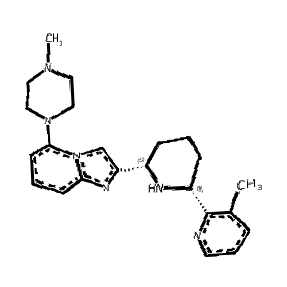 Cc1cccnc1[C@H]1CCC[C@@H](c2cn3c(N4CCN(C)CC4)cccc3n2)N1